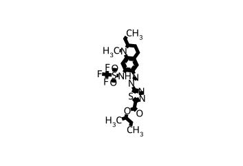 CCC(C)OC(=O)c1nnc(N=Nc2cc3c(cc2NS(=O)(=O)C(F)(F)F)N(C)C(CC)CC3)s1